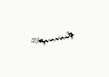 O=C(CCOCCOCCOCCOCCN1C(=O)C=CC1=O)C1CC(C(=O)O)(C(=O)O)C1